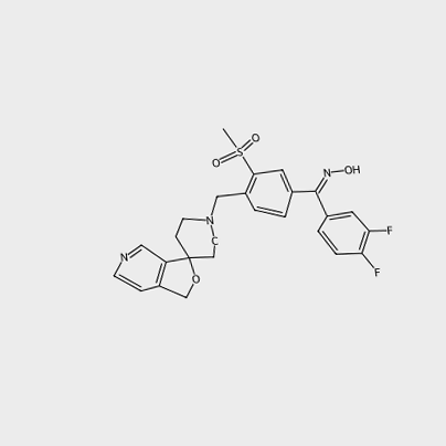 CS(=O)(=O)c1cc(/C(=N/O)c2ccc(F)c(F)c2)ccc1CN1CCC2(CC1)OCc1ccncc12